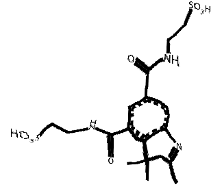 CC1=Nc2cc(C(=O)NCCS(=O)(=O)O)cc(C(=O)NCCS(=O)(=O)O)c2C1(C)C